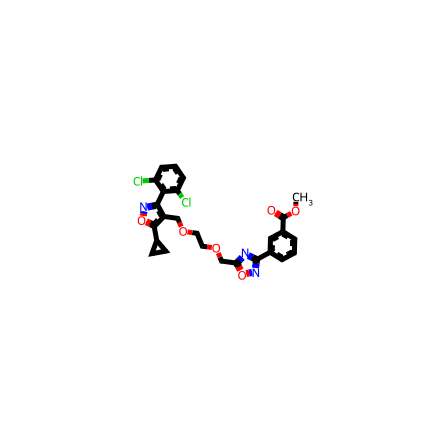 COC(=O)c1cccc(-c2noc(COCCOCc3c(-c4c(Cl)cccc4Cl)noc3C3CC3)n2)c1